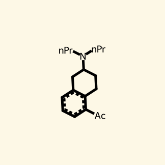 CCCN(CCC)C1CCc2c(cccc2C(C)=O)C1